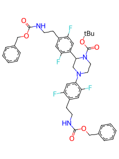 CC(C)(C)OC(=O)N1CCN(c2cc(F)c(CCNC(=O)OCc3ccccc3)cc2F)CC1c1cc(F)c(CCNC(=O)OCc2ccccc2)cc1F